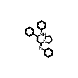 C(=C(/Nc1ccccc1)c1ccccc1)/C(=N/c1ccccc1)N1CCCC1